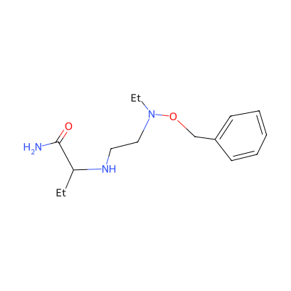 CCC(NCCN(CC)OCc1ccccc1)C(N)=O